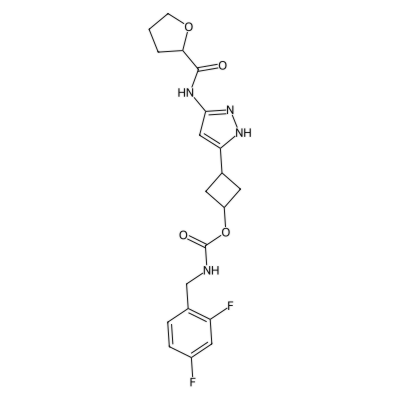 O=C(NCc1ccc(F)cc1F)OC1CC(c2cc(NC(=O)C3CCCO3)n[nH]2)C1